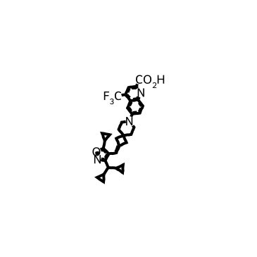 O=C(O)c1cc(C(F)(F)F)c2cc(N3CCC4(CC3)CC(=Cc3c(C(C5CC5)C5CC5)noc3C3CC3)C4)ccc2n1